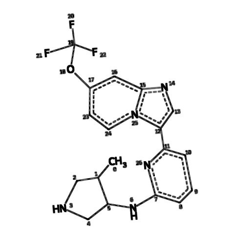 CC1CNCC1Nc1cccc(-c2cnc3cc(OC(F)(F)F)ccn23)n1